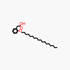 CCCCCCCCCCCCCCCCCCOc1ccccc1CC(=O)O